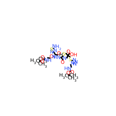 CC(C)(C)OC(=O)NCCON=C(C(=O)NC1C(=O)N2CC(CSc3nnnn3CCNC(=O)OC(C)(C)C)(C(=O)O)CS[C@H]12)c1nsc(N)n1